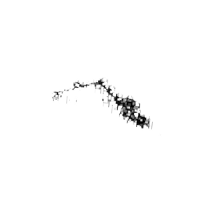 CC(C)(CCCCCCc1cccc(CCCCCCC(C)(C)C(=O)CCNC(=O)CCNC(=O)C(O)C(C)(C)COP(=O)(O)OP(=O)(O)OCC2OC(n3cnc4c(N)ncnc43)C(O)C2OP(=O)(O)O)c1)OC=O